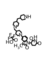 Cn1c(=O)n(C2CCC(=O)NC2=O)c2ccc(N3CCC(CN4CCC(CC5CCNCC5)CC4)CC3)cc21.O=C(O)C(F)(F)F